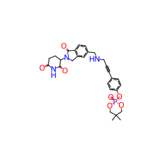 CC1(C)COP(=O)(Oc2ccc(C#CCNCc3ccc4c(c3)CN(C3CCC(=O)NC3=O)C4=O)cc2)OC1